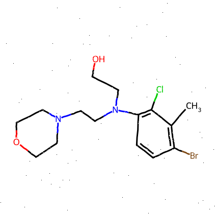 Cc1c(Br)ccc(N(CCO)CCN2CCOCC2)c1Cl